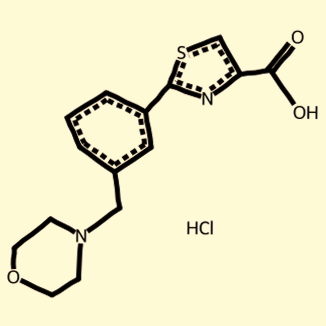 Cl.O=C(O)c1csc(-c2cccc(CN3CCOCC3)c2)n1